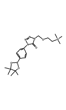 CC1(C)OB(c2ccc(-n3nnn(COCC[Si](C)(C)C)c3=O)cc2)OC1(C)C